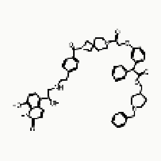 O=C(OCC1CCN(Cc2ccccc2)CC1)C(c1ccccc1)c1cccc(OCC(=O)N2CCC3(CC2)CN(C(=O)c2ccc(CCNCC(O)c4ccc(O)c5[nH]c(=O)ccc45)cc2)C3)c1